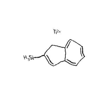 [SiH3]C1=Cc2ccccc2C1.[Ti+2]